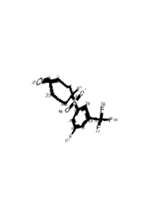 O=C1CCC(F)(S(=O)(=O)c2cc(F)cc(C(F)(F)F)c2)CC1